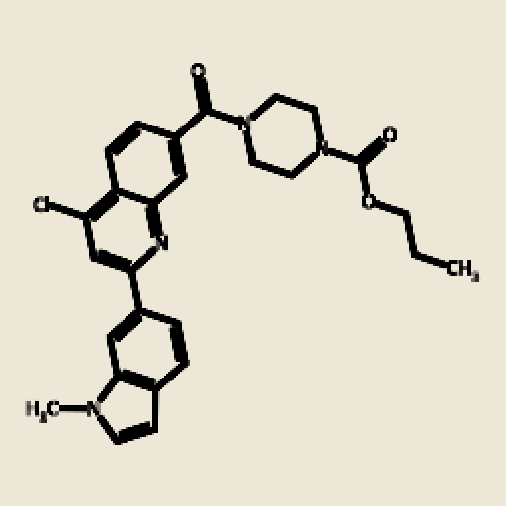 CCCOC(=O)N1CCN(C(=O)c2ccc3c(Cl)cc(-c4ccc5ccn(C)c5c4)nc3c2)CC1